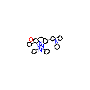 C1=Cc2cc3oc4ccccc4c3cc2N(c2nc(-c3ccccc3)nc(-c3ccccc3)n2)c2ccc(-c3ccc4c5ccccc5n(-c5ccccc5)c4c3)cc21